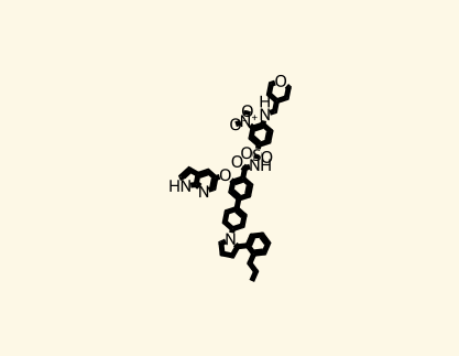 CCCc1ccccc1C1CCCN1C1CC=C(c2ccc(C(=O)NS(=O)(=O)c3ccc(NCC4CCOCC4)c([N+](=O)[O-])c3)c(Oc3cnc4[nH]ccc4c3)c2)CC1